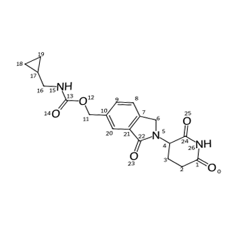 O=C1CCC(N2Cc3ccc(COC(=O)NCC4CC4)cc3C2=O)C(=O)N1